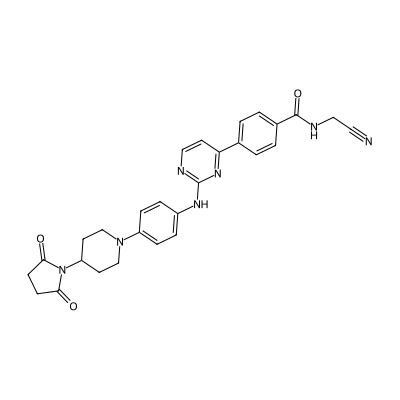 N#CCNC(=O)c1ccc(-c2ccnc(Nc3ccc(N4CCC(N5C(=O)CCC5=O)CC4)cc3)n2)cc1